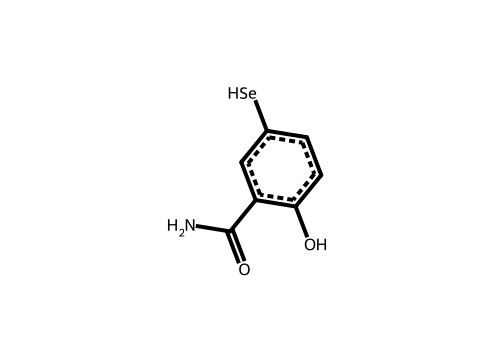 NC(=O)c1cc([SeH])ccc1O